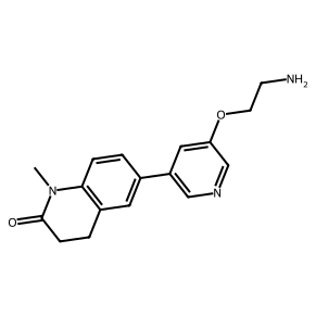 CN1C(=O)CCc2cc(-c3cncc(OCCN)c3)ccc21